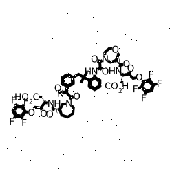 CC(C)(Cc1ccc2onc(C(=O)N3CCCC[C@@H](C(=O)N[C@@H](CC(=O)O)C(=O)COc4c(F)c(F)cc(F)c4F)C3)c2c1)c1ccccc1NC(=O)C(=O)N1CCOC[C@@H](C(=O)N[C@@H](CC(=O)O)C(=O)COc2c(F)c(F)cc(F)c2F)C1